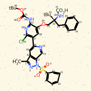 Cc1nn(S(=O)(=O)c2ccccc2)c2cnc(-c3cc(OC[C@@](Cc4ccccc4)(NC(=O)O)C(C)(C)C)c(NC(=O)OC(C)(C)C)nc3Cl)cc12